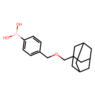 OB(O)c1ccc(COCC23CC4CC(CC(C4)C2)C3)cc1